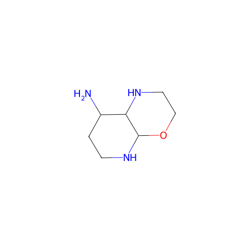 NC1CCNC2OCCNC12